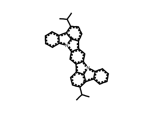 CC(C)c1ccc2c3cc4c(cc3n3c5ccccc5c1c23)c1ccc(C(C)C)c2c3ccccc3n4c12